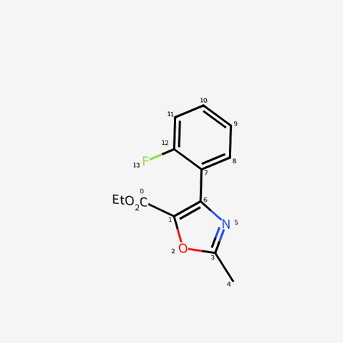 CCOC(=O)c1oc(C)nc1-c1ccccc1F